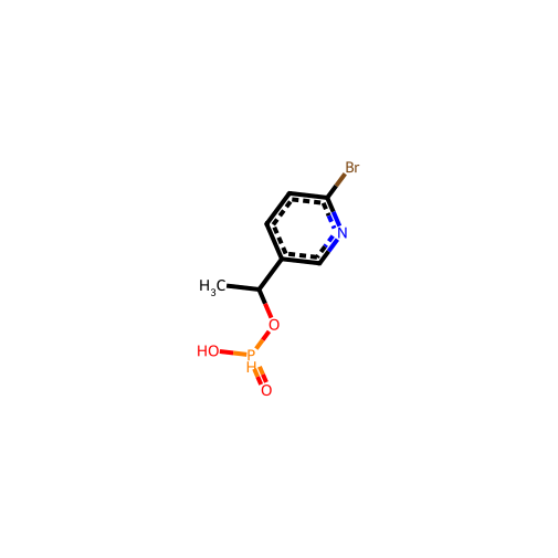 CC(O[PH](=O)O)c1ccc(Br)nc1